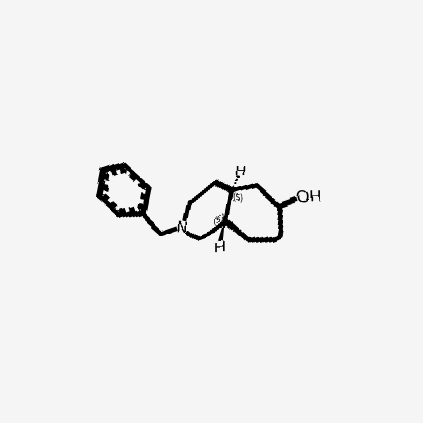 OC1CC[C@@H]2CN(Cc3ccccc3)CC[C@H]2C1